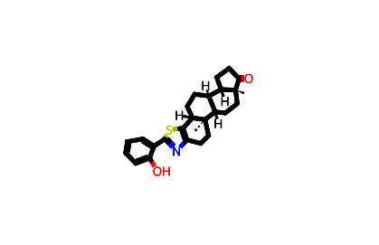 C[C@]12CCc3nc(-c4ccccc4O)sc3[C@@H]1CC[C@@H]1[C@@H]2CC[C@]2(C)C(=O)CC[C@@H]12